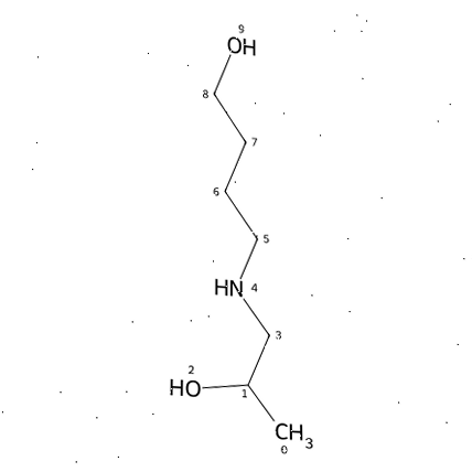 CC(O)CNCCCCO